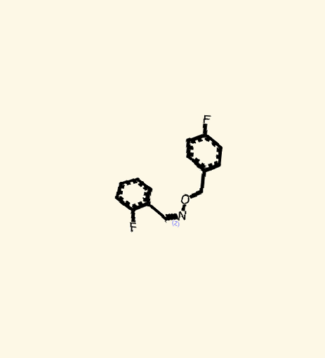 Fc1ccc(CO/N=[C]\c2ccccc2F)cc1